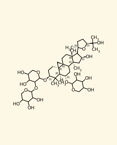 CC(C)(O)[C@@H]1CC[C@](C)(C2[C@@H](O)C[C@@]3(C)C4C[C@H](OC5OCC(O)C(O)C5O)[C@H]5C(C)(C)[C@@H](OC6OCC(O)C(O)C6OC6OCC(O)C(O)C6O)CC[C@@]56C[C@@]46CC[C@]23C)O1